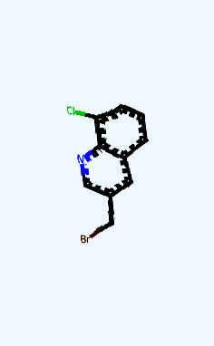 Clc1cccc2cc(CBr)cnc12